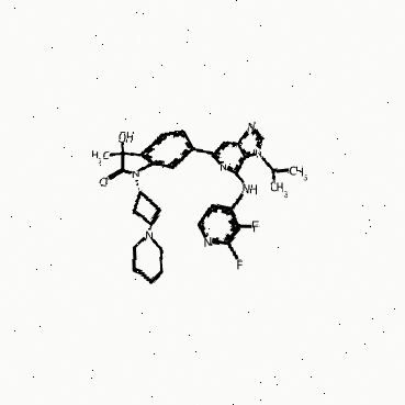 CC(C)n1cnc2cc(-c3ccc4c(c3)N([C@H]3C[C@@H](N5CCCCC5)C3)C(=O)C4(C)O)nc(Nc3ccnc(F)c3F)c21